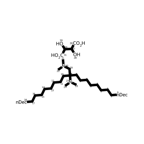 CCCCCCCCCCCCCCCCCCC(CCCCCCCCCCCCCCCCCC)(CN(C)C)N(C)C.O=C(O)C(O)C(O)C(=O)O